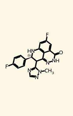 Cn1ncnc1C1c2n[nH]c(=O)c3cc(F)cc(c23)N[C@@H]1c1ccc(F)cc1